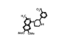 COc1cc2cc(C)nc(N3CCNC(c4cccc([N+](=O)[O-])c4)C3)c2cc1OC